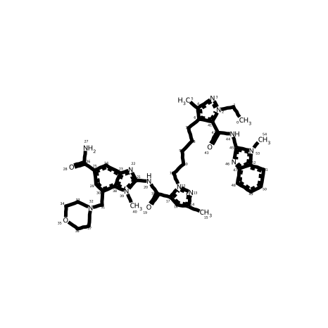 CCn1nc(C)c(CCCCCn2nc(C)cc2C(=O)Nc2nc3cc(C(N)=O)cc(CN4CCOCC4)c3n2C)c1C(=O)Nc1nc2ccccc2n1C